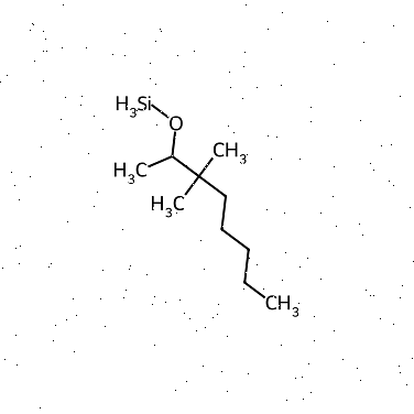 CCCCCC(C)(C)C(C)O[SiH3]